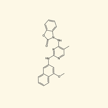 COc1cc(Nc2ncc(C)c(Nn3c(=O)oc4ccccc43)n2)cc2ccccc12